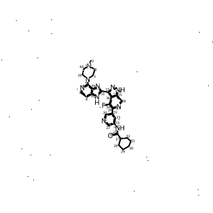 CN1CCN(c2nccc3[nH]c(-c4n[nH]c5cnc(-c6cncc(NC(=O)C7CCCCC7)c6)c(F)c45)nc23)CC1